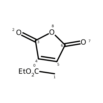 CCOC(C)=O.O=C1C=CC(=O)O1